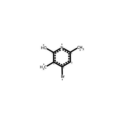 Cc1cc(Br)c(C)c(O)n1